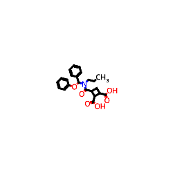 CCCN(C(=O)C1CC(C(=O)O)C1C(=O)O)C(Oc1ccccc1)c1ccccc1